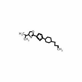 C=CCCC1CCC(c2ccc(C3=NC(C(C)C)CO3)cc2)CC1